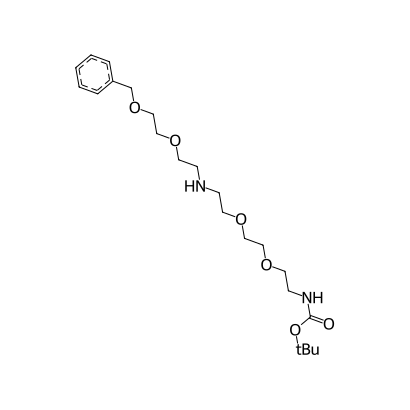 CC(C)(C)OC(=O)NCCOCCOCCNCCOCCOCc1ccccc1